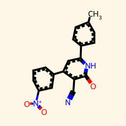 Cc1ccc(-c2cc(-c3cccc([N+](=O)[O-])c3)c(C#N)c(=O)[nH]2)cc1